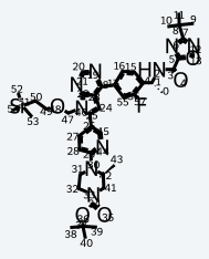 C[C@@H](NC(=O)c1nc(C(C)(C)C)no1)c1ccc(-c2ncnc3c2cc(-c2ccc(N4CCN(C(=O)OC(C)(C)C)C[C@@H]4C)nc2)n3COCC[Si](C)(C)C)cc1F